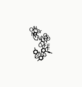 CC#Cc1cc(N(c2cc(C)ccc2OC)c2cc(C)ccc2OC)cc(C2Cc3nc(S(C)(=O)=O)nc(N4CCCn5nc(C(=O)N(C)C)c(Br)c5C4)c3CO2)c1C(F)(F)F